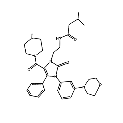 CC(C)CC(=O)NCCn1c(C(=O)N2CCNCC2)c(-c2ccccc2)n(-c2cccc(N3CCOCC3)c2)c1=O